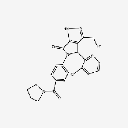 CC(C)Cc1n[nH]c2c1C(c1ccccc1Cl)N(c1ccc(C(=O)N3CCCC3)cc1)C2=O